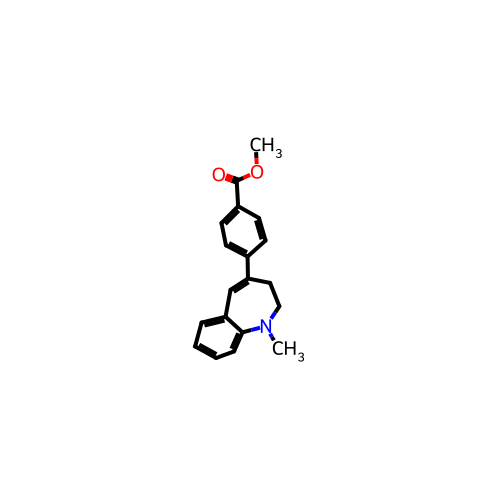 COC(=O)c1ccc(C2=Cc3ccccc3N(C)CC2)cc1